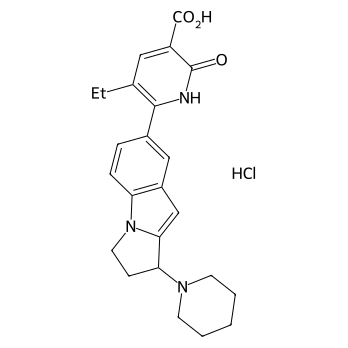 CCc1cc(C(=O)O)c(=O)[nH]c1-c1ccc2c(c1)cc1n2CCC1N1CCCCC1.Cl